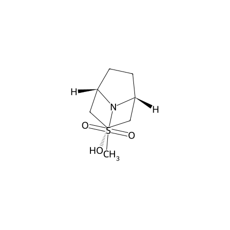 CS(=O)(=O)N1[C@@H]2CC[C@H]1C[C@@H](O)C2